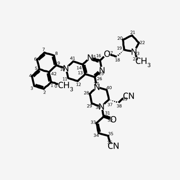 Cc1cccc2cccc(N3CCc4c(nc(OC[C@@H]5CCCN5C)nc4N4CCN(C(=O)/C=C\CC#N)[C@@H](CC#N)C4)C3)c12